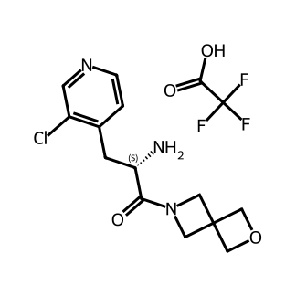 N[C@@H](Cc1ccncc1Cl)C(=O)N1CC2(COC2)C1.O=C(O)C(F)(F)F